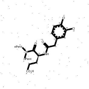 CCCCCN(CCCCC)C(=O)[C@H](CCC(=O)O)NC(=O)Cc1ccc(Cl)c(Cl)c1